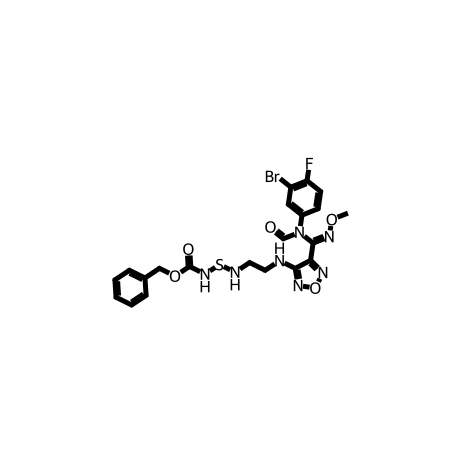 CO/N=C(/c1nonc1NCCNSNC(=O)OCc1ccccc1)N(C=O)c1ccc(F)c(Br)c1